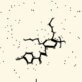 CCCCOc1cc(OCCCC)c(C(C)(C)C)cc1C=CC(=O)c1ccc(O)cc1